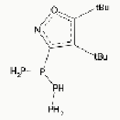 CC(C)(C)c1onc(P(P)PP)c1C(C)(C)C